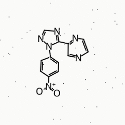 O=[N+]([O-])c1ccc(-n2ncnc2-c2cnccn2)cc1